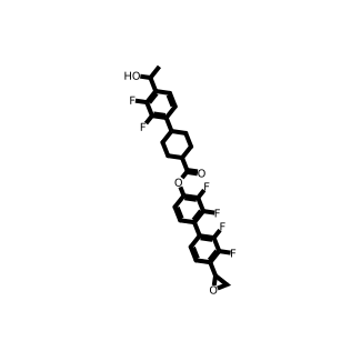 CC(O)c1ccc(C2CCC(C(=O)Oc3ccc(-c4ccc(C5CO5)c(F)c4F)c(F)c3F)CC2)c(F)c1F